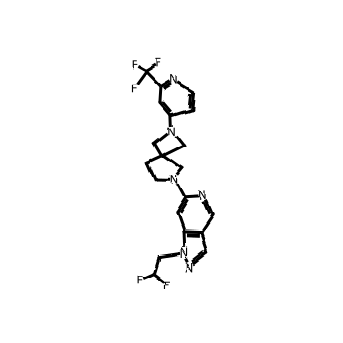 FC(F)Cn1ncc2cnc(N3CCC4(CN(c5ccnc(C(F)(F)F)c5)C4)C3)cc21